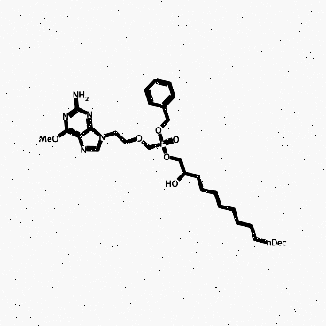 CCCCCCCCCCCCCCCCCCC(O)COP(=O)(COCCn1cnc2c(OC)nc(N)nc21)OCc1ccccc1